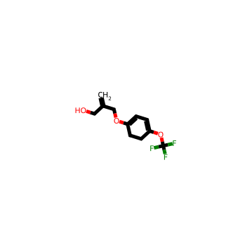 C=C(CO)COC1=CC=C(OC(F)(F)F)CC1